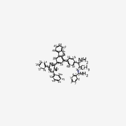 CC(/C=C(\N)c1ccccc1)C(N)c1ccc(-c2cc(-c3nc(-c4ccccc4)nc(-c4ccccc4)n3)cc3c2sc2ccccc23)cc1